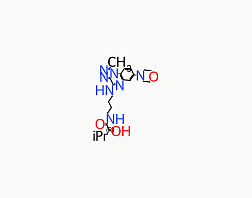 Cc1nnc2c(NCCCCNC(=O)[C@H](O)C(C)C)nc3cc(N4CCOCC4)ccc3n12